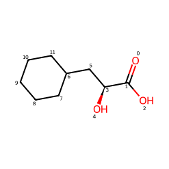 O=C(O)[C@@H](O)CC1CCCCC1